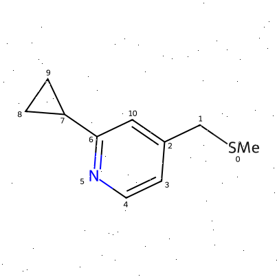 CSCc1ccnc(C2CC2)c1